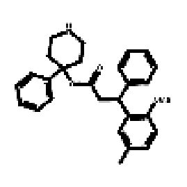 COc1ccc(C)cc1C(CC(=O)OC1(c2ccccc2)CCNCC1)c1ccccc1